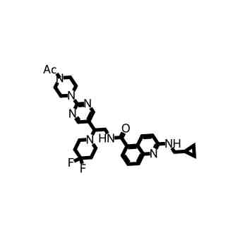 CC(=O)N1CCN(c2ncc(C(CNC(=O)c3cccc4nc(NCC5CC5)ccc34)N3CCC(F)(F)CC3)cn2)CC1